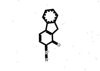 [N-]=[N+]=C1C=CC2=C(Cc3ccccc32)C1=O